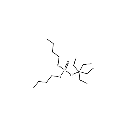 CCCCOP(=O)(OCCCC)OP(CC)(CC)(CC)CC